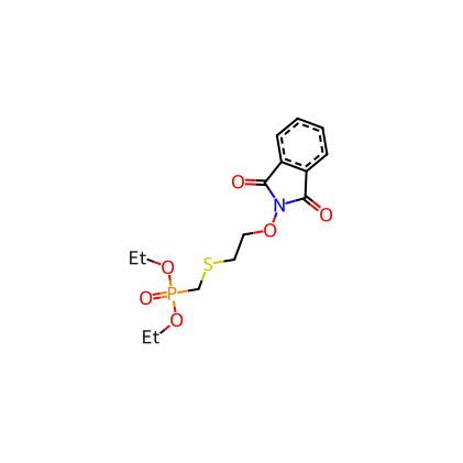 CCOP(=O)(CSCCON1C(=O)c2ccccc2C1=O)OCC